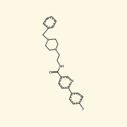 O=C(NCCN1CCN(Cc2ccccc2)CC1)c1ccc(-c2ccc(F)cc2)nc1